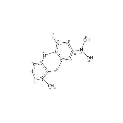 Cc1cccc(Oc2c(F)cc(N(O)O)cc2F)c1